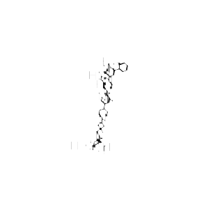 CC(C)(C)OC(=O)N1CC2(CC(N3CCC(c4cnc(N5CCN6c7cc(-c8ccccc8O)nnc7NC[C@H]6C5)nc4)CC3)C2)C1